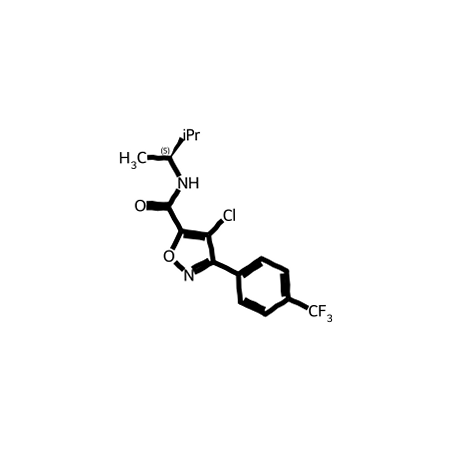 CC(C)[C@H](C)NC(=O)c1onc(-c2ccc(C(F)(F)F)cc2)c1Cl